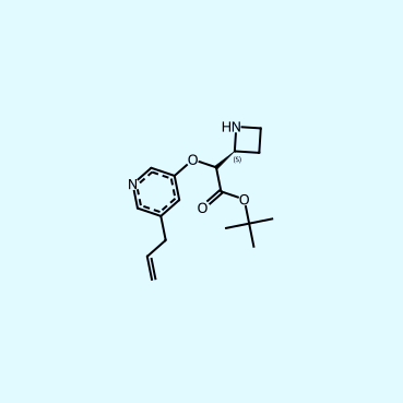 C=CCc1cncc(OC(C(=O)OC(C)(C)C)[C@@H]2CCN2)c1